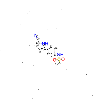 CCS(=O)(=O)Nc1ccc(-c2ccc(C#N)[nH]2)cc1